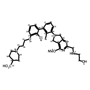 COc1nc(CNCCO)nc2c1CN(c1cccc(-c3cccc(OCCCN4CCC(C(=O)O)CC4)c3Cl)c1C)C2